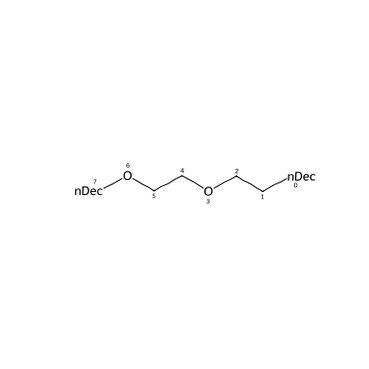 CCCCCCCCCCCCOCCOCCCCCCCCCC